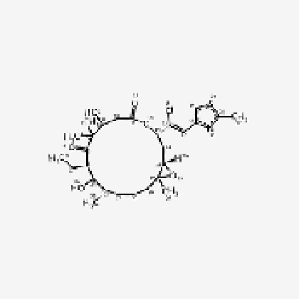 CC[C@H]1C(=O)C(C)(C)[C@@H](O)CC(=O)O[C@H](C(Cl)=Cc2csc(C)n2)C[C@@H]2O[C@]2(C)CCC[C@H](C)C1O